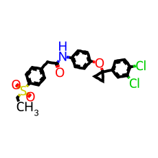 CCS(=O)(=O)c1ccc(CC(=O)Nc2ccc(OC3(c4ccc(Cl)c(Cl)c4)CC3)cc2)cc1